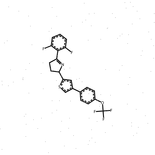 Fc1cccc(F)c1C1=NC(c2cc(-c3ccc(OC(F)(F)F)cc3)cs2)CC1